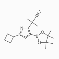 CC(C)(C#N)c1nn(C2CCC2)cc1B1OC(C)(C)C(C)(C)O1